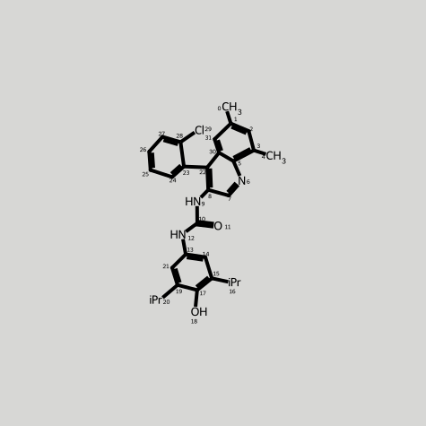 Cc1cc(C)c2ncc(NC(=O)Nc3cc(C(C)C)c(O)c(C(C)C)c3)c(-c3ccccc3Cl)c2c1